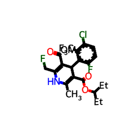 CCC(CC)OC(=O)C1=C(C)NC(CF)=C(C(=O)OC)C1c1c(F)ccc(Cl)c1C(F)(F)F